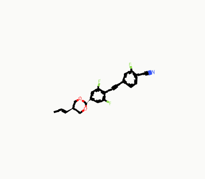 CC=C[C@H]1CO[C@H](c2cc(F)c(C#Cc3ccc(C#N)c(F)c3)c(F)c2)OC1